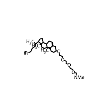 CNCOCCOCCOCCOC1CCC2(C)C(=CCC3C2CCC2(C)C(C(C)CCCC(C)C)CCC32)C1